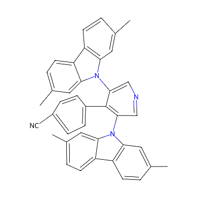 Cc1ccc2c3ccc(C)cc3n(-c3cncc(-n4c5cc(C)ccc5c5ccc(C)cc54)c3-c3ccc(C#N)cc3)c2c1